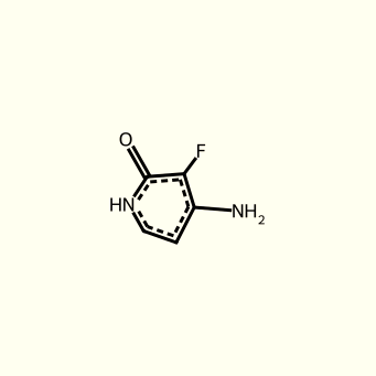 Nc1cc[nH]c(=O)c1F